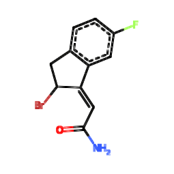 NC(=O)/C=C1/c2cc(F)ccc2CC1Br